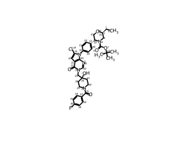 CC[C@H]1CN(C(=O)OC(C)(C)C)[C@H](c2ccc(-n3c(Cl)cc4c(=O)n(CC5(O)CCN(C(=O)c6ccc(F)cc6)CC5)cnc43)cc2)CO1